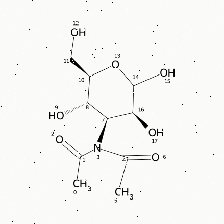 CC(=O)N(C(C)=O)[C@H]1[C@H](O)[C@@H](CO)OC(O)[C@H]1O